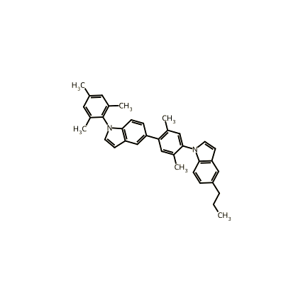 CCCc1ccc2c(ccn2-c2cc(C)c(-c3ccc4c(ccn4-c4c(C)cc(C)cc4C)c3)cc2C)c1